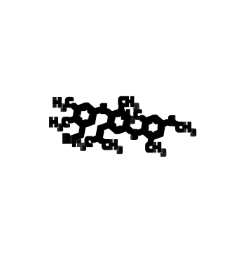 CSc1cc(C)c(Sc2cc(C)c(Sc3cc(C)c(C)c(CBr)c3)c(C=C(C)C)c2)c(C)c1